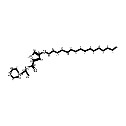 CCCCCCCCCCCCCCCCOc1csc(C(=O)OC(C)N2CCOCC2)c1